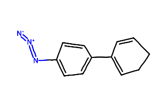 [N-]=[N+]=Nc1ccc(C2=CCCC=C2)cc1